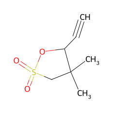 C#CC1OS(=O)(=O)CC1(C)C